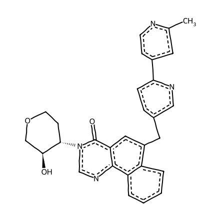 Cc1cc(-c2ccc(Cc3cc4c(=O)n([C@H]5CCOC[C@@H]5O)cnc4c4ccccc34)cn2)ccn1